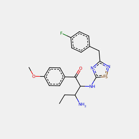 CCC(N)C(Nc1nc(Cc2ccc(F)cc2)ns1)C(=O)c1ccc(OC)cc1